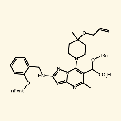 C=CCOC1(C)CCN(c2c(C(OC(C)(C)C)C(=O)O)c(C)nc3cc(NCc4ccccc4OCCCCC)nn23)CC1